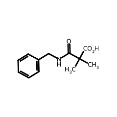 CC(C)(C(=O)O)C(=O)NCc1ccccc1